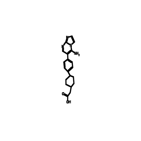 Nc1c(-c2ccc(C3CCC(CC(=O)O)CC3)cc2)cnc2nccn12